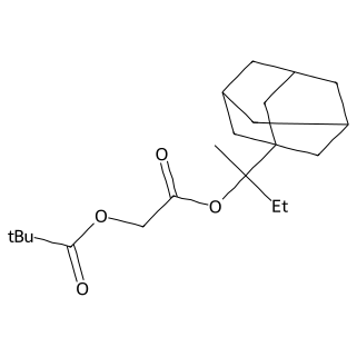 CCC(C)(OC(=O)COC(=O)C(C)(C)C)C12CC3CC(CC(C3)C1)C2